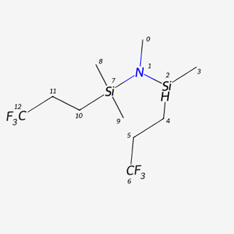 CN([SiH](C)CCC(F)(F)F)[Si](C)(C)CCC(F)(F)F